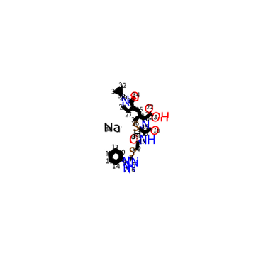 O=C(CSc1nnnn1-c1ccccc1)N[C@@H]1C(=O)N2C(C(=O)O)=C(C=C3CCN(C4CC4)C3=O)CS[C@H]12.[Na]